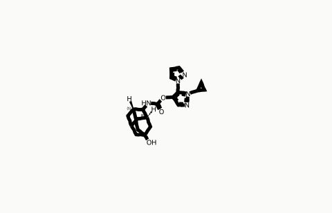 O=C(NC1[C@@H]2CC3C[C@H]1CC(O)(C3)C2)Oc1cnn(C2CC2)c1-n1cccn1